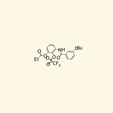 CCC(=O)Oc1cccc(NC(=O)c2cccc(C(C)(C)C)c2)c1OS(=O)(=O)C(F)(F)F